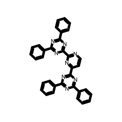 c1ccc(-c2nc(-c3ccccc3)nc(-c3ccnc(-c4nc(-c5ccccc5)nc(-c5ccccc5)n4)n3)n2)cc1